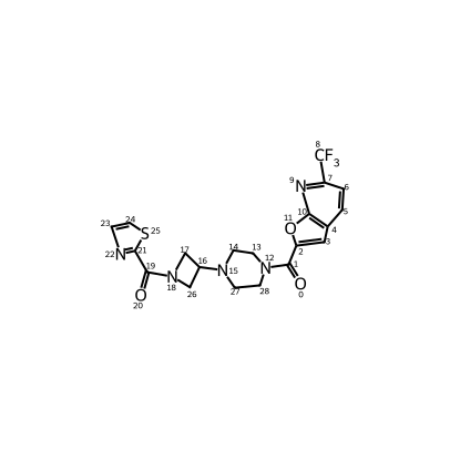 O=C(c1cc2ccc(C(F)(F)F)nc2o1)N1CCN(C2CN(C(=O)c3nccs3)C2)CC1